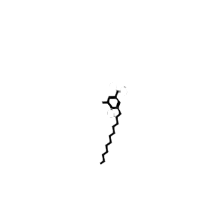 CCCCCCCCCCC1Cc2cc(C(=O)OC)cc(C)c2O1